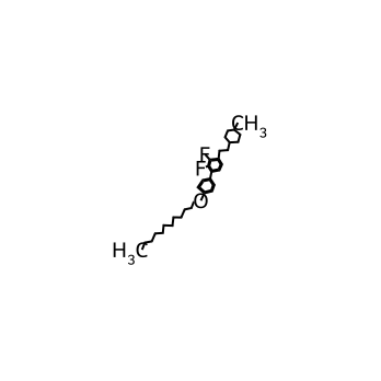 CCCCCCCCCCCCOc1ccc(-c2ccc(CCC3CCC(C)CC3)c(F)c2F)cc1